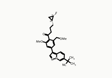 COCc1cc(-c2cnn3cc(C(C)(C)C#N)ccc23)cc(OC)c1C(=O)CCC[C@@H]1C[C@@H]1F